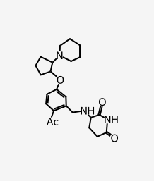 CC(=O)c1ccc(OC2CCCC2N2CCCCC2)cc1CNC1CCC(=O)NC1=O